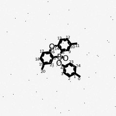 Cc1ccc(OP2(=O)c3cc(C)ccc3Oc3ccc(C)cc32)cc1